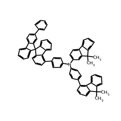 CC1(C)c2ccccc2-c2ccc(N(c3ccc(-c4cccc5c4-c4ccccc4C5(C)C)cc3)c3ccc(-c4cccc5c4-c4ccccc4C54c5ccccc5-c5ccc(-c6ccccc6)cc54)cc3)cc21